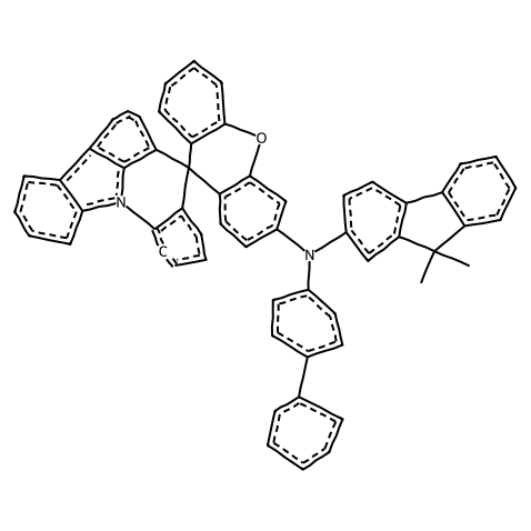 CC1(C)c2ccccc2-c2ccc(N(c3ccc(-c4ccccc4)cc3)c3ccc4c(c3)Oc3ccccc3C43c4ccccc4-n4c5ccccc5c5cccc3c54)cc21